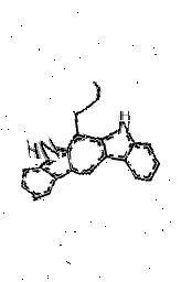 CCCc1c2[nH]c3ccccc3c2cc2c1[nH]c1ccccc12